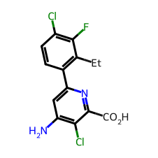 CCc1c(-c2cc(N)c(Cl)c(C(=O)O)n2)ccc(Cl)c1F